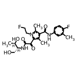 Cc1cc(NC(=O)c2c(C)c(C(=O)C(=O)N[C@H](CO)[C@@H](C)O)n(CCF)c2C)ccc1F